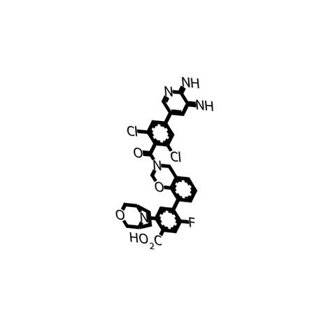 N=C1C=C(c2cc(Cl)c(C(=O)N3COc4c(cccc4-c4cc(N5C6CCC5COC6)c(C(=O)O)cc4F)C3)c(Cl)c2)C=NC1=N